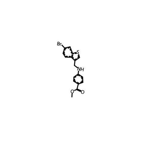 COC(=O)c1ccc(NCc2csc3cc(Br)ccc23)cc1